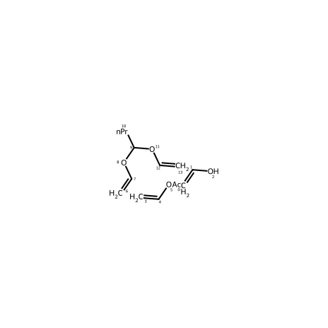 C=CO.C=COC(C)=O.C=COC(CCC)OC=C